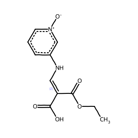 CCOC(=O)/C(=C\Nc1ccc[n+]([O-])c1)C(=O)O